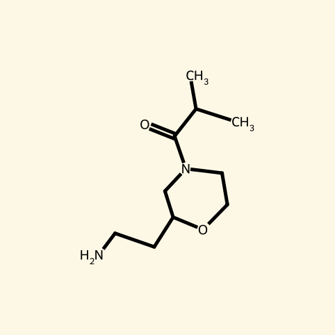 CC(C)C(=O)N1CCOC(CCN)C1